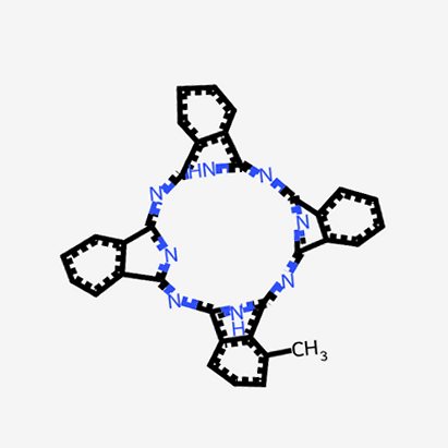 Cc1cccc2c3nc4nc(nc5[nH]c(nc6nc(nc([nH]3)c12)-c1ccccc1-6)c1ccccc51)-c1ccccc1-4